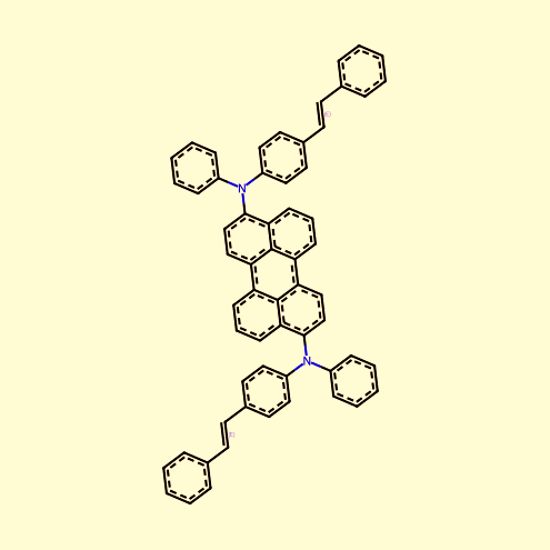 C(=C\c1ccc(N(c2ccccc2)c2ccc3c4cccc5c(N(c6ccccc6)c6ccc(/C=C/c7ccccc7)cc6)ccc(c6cccc2c63)c54)cc1)/c1ccccc1